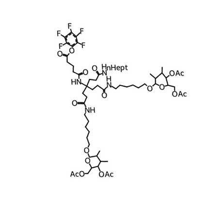 CCCCCCCNC(=O)CCC(CCC(=O)NCCCCCCOC1OC(COC(C)=O)C(OC(C)=O)C(C)C1C)(CCC(=O)NCCCCCCOC1OC(COC(C)=O)C(OC(C)=O)C(C)C1C)NC(=O)CCCC(=O)Oc1c(F)c(F)c(F)c(F)c1F